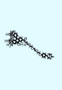 Cc1nnc(-c2ccc(OCCOCCOCCOCCNC(=O)c3ccc(-c4c5ccc(=N)c(S(=O)(=O)O)c-5oc5c(S(=O)(=O)O)c(N)ccc45)c(C(=O)O)c3)cc2)nn1